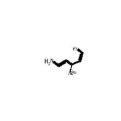 CC/C=C\[C@H](/C=C/N)CCCC